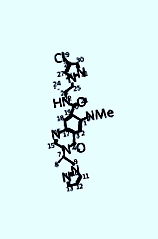 CNc1cc2c(=O)n([C@H](C)Cn3cccn3)cnc2cc1C(=O)N[C@H](C)Cn1cc(Cl)cn1